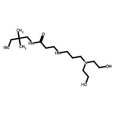 CC(C)(C)CC(C)(C)CNC(=O)CCNCCCN(CCO)CCO